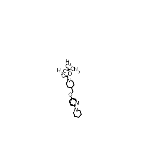 CC(C)(C)OC(=O)N1CCC(COc2ccc(N3CCCCC3)nc2)CC1